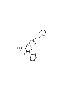 CC1OC2(CCN(CCc3ccccc3)CC2)CN(c2cnccn2)C1=O